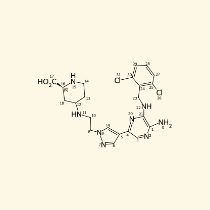 Nc1ncc(-c2cnn(CCNC3CCN[C@H](C(=O)O)C3)c2)nc1NCc1c(Cl)cccc1Cl